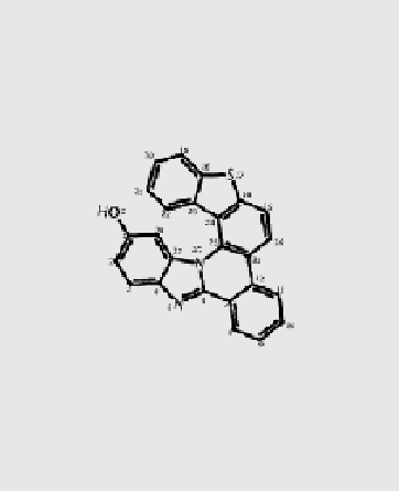 Oc1ccc2nc3c4ccccc4c4ccc5sc6ccccc6c5c4n3c2c1